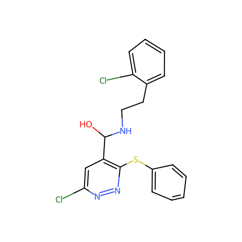 OC(NCCc1ccccc1Cl)c1cc(Cl)nnc1Sc1ccccc1